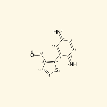 N=C1C=CC(=N)C(c2sccc2C=O)=C1